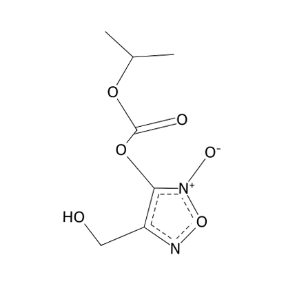 CC(C)OC(=O)Oc1c(CO)no[n+]1[O-]